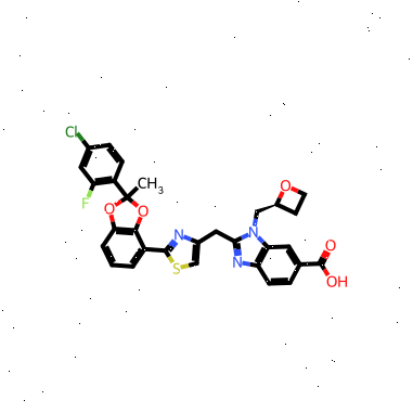 CC1(c2ccc(Cl)cc2F)Oc2cccc(-c3nc(Cc4nc5ccc(C(=O)O)cc5n4C[C@@H]4CCO4)cs3)c2O1